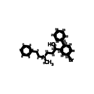 CN(CCc1ccccc1)CCC(O)c1cc(Br)ccc1-c1ccccc1